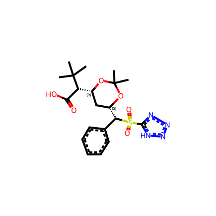 CC1(C)O[C@H](C(c2ccccc2)S(=O)(=O)c2nnn[nH]2)C[C@H](C(C(=O)O)C(C)(C)C)O1